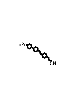 CCCC1CCC(C2CCC(CCC3CCC(CCCC#N)CC3)CC2)CC1